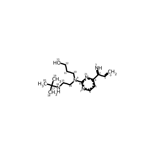 C=CC(=N)c1ccnc(N(CCCO)CCNC(C)(C)C)n1